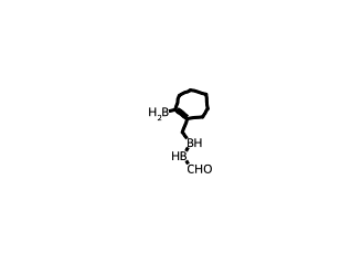 BC1=C(CBBC=O)CCCCC1